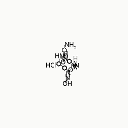 Cl.NC[C@H]1CC[C@H](C(=O)N[C@@H](Cc2cccc(-c3ccc(C(=O)N4CCN(CCO)CC4)cc3)c2)C(=O)Nc2ccc(-c3nnn[nH]3)cc2)CC1